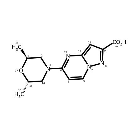 C[C@H]1CN(c2ccn3nc(C(=O)O)cc3n2)C[C@H](C)O1